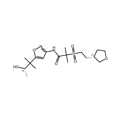 C[C@H](O)C(C)(C)c1cc(NC(=O)C(C)(C)S(=O)(=O)CC[C@@H]2CCOC2)no1